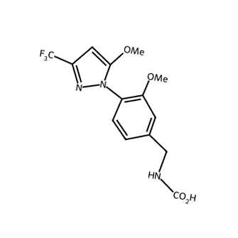 COc1cc(CNC(=O)O)ccc1-n1nc(C(F)(F)F)cc1OC